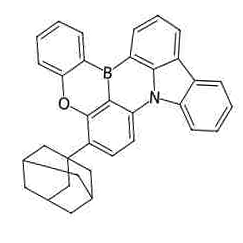 c1ccc2c(c1)Oc1c(C34CC5CC(CC(C5)C3)C4)ccc3c1B2c1cccc2c4ccccc4n-3c12